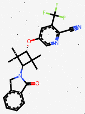 CC1(C)[C@H](Oc2cnc(C#N)c(C(F)(F)F)c2)C(C)(C)[C@H]1N1Cc2ccccc2C1=O